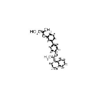 C=C(Oc1cccc(-c2ccc(OC(C)N3CCSc4ccccc43)cc2)c1)C(=O)O